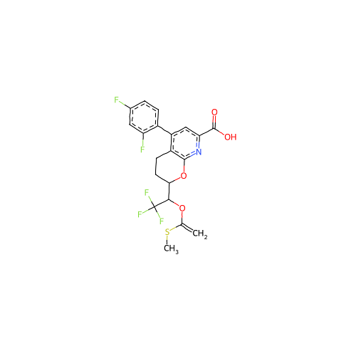 C=C(OC(C1CCc2c(-c3ccc(F)cc3F)cc(C(=O)O)nc2O1)C(F)(F)F)SC